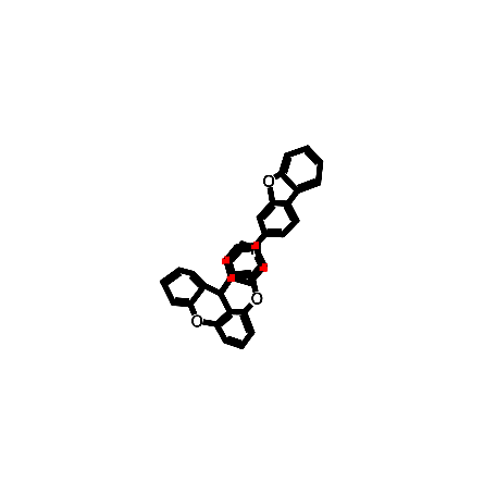 c1ccc2c(c1)Oc1cccc3c1C2(c1ccc(-c2ccc4c(c2)oc2ccccc24)cc1)c1ccncc1O3